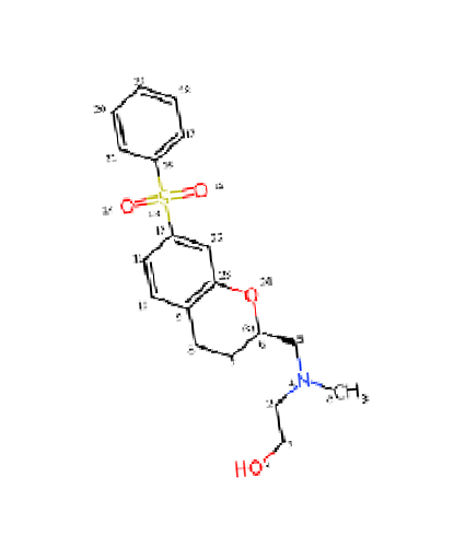 CN(CCO)C[C@H]1CCc2ccc(S(=O)(=O)c3ccccc3)cc2O1